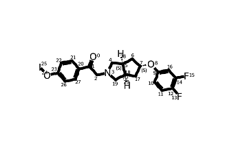 O=C(CN1C[C@H]2C[C@H](Oc3ccc(F)c(F)c3)C[C@H]2C1)c1ccc(OI)cc1